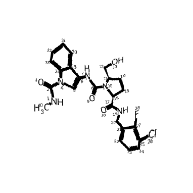 CNC(=O)n1cc(NC(=O)N2[C@@H](CO)CC[C@H]2C(=O)NCc2cccc(Cl)c2F)c2ccccc21